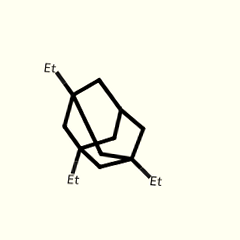 CCC12C[C]3CC(CC)(C1)CC(CC)(C3)C2